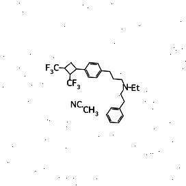 CC#N.CCN(CCCc1ccc(C2CC(C(F)(F)F)C2C(F)(F)F)cc1)CCc1ccccc1